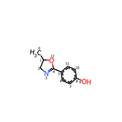 CC1CN=C(c2ccc(O)cc2)O1